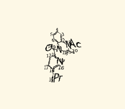 CC(=O)N1c2ccccc2N(C(=O)c2ccc(C(C)C)cn2)C[C@@H]1C